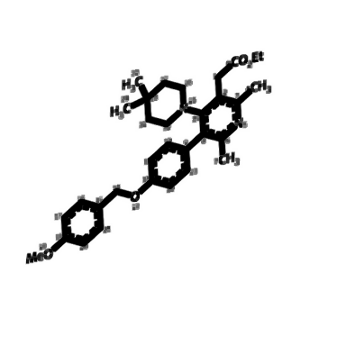 CCOC(=O)Cc1c(C)nc(C)c(-c2ccc(OCc3ccc(OC)cc3)cc2)c1N1CCC(C)(C)CC1